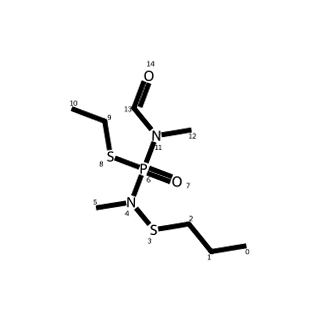 CCCSN(C)P(=O)(SCC)N(C)C=O